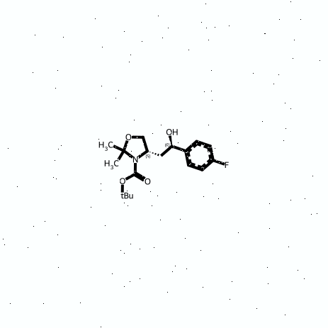 CC(C)(C)OC(=O)N1[C@@H](C[C@@H](O)c2ccc(F)cc2)COC1(C)C